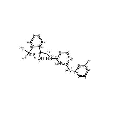 Cc1cccc(Nc2nccc(NCC(O)c3ccccc3C(F)(F)F)n2)c1